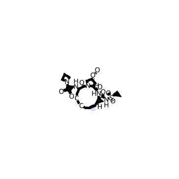 O=CO[C@@H]1C[C@H]2C(=O)N[C@]3(C(=O)NS(=O)(=O)C4CC4)C[C@H]3/C=C\CCCCC[C@H](Nc3c(N4CCC4)c(=O)c3=O)C(=O)N2C1